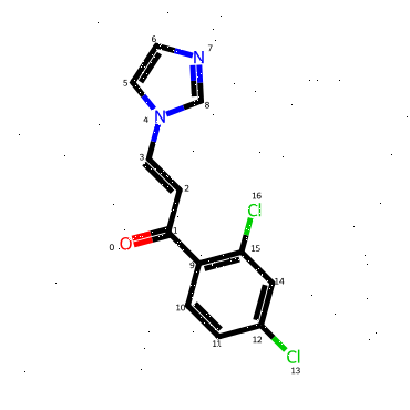 O=C(C=Cn1ccnc1)c1ccc(Cl)cc1Cl